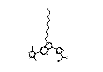 Cc1noc(C)c1-c1cnc2c(-c3csc(C(=O)O)c3)cn(CCCCCCCCF)c2c1